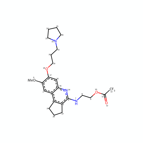 COc1cc2c3c(c(NCCOC(=O)C(F)(F)F)nc2cc1OCCCN1CCCC1)CCC3